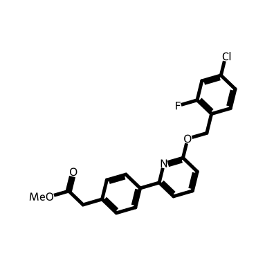 COC(=O)Cc1ccc(-c2cccc(OCc3ccc(Cl)cc3F)n2)cc1